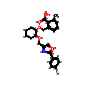 Cc1cccc(CO[C@H]2CCCC[C@@H]2OCc2coc(-c3ccc(F)cc3)n2)c1C(=O)O